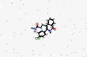 CNC(=O)CCc1c(-c2ccc(Cl)cc2)n(C)c(=O)c2ccccc12